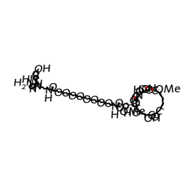 CO[C@H]1C[C@@H]2CC[C@@H](C)[C@@](O)(O2)C(=O)C(=O)N2CCCC[C@H]2C(=O)O[C@H](CC[C@@H]2CC[C@@H](OC(=O)NCCOCCOCCOCCOCCOCCOCCOCCOCCC(=O)NCCCCn3nc(-c4cc5cc(O)ccc5[nH]4)c4c(N)ccnc43)[C@H](OC)C2)C[C@@H](O)[C@H](C)/C=C(\C)[C@@H](O)CC(=O)[C@H](C)C[C@H](C)/C=C/C=C/C=C/1C